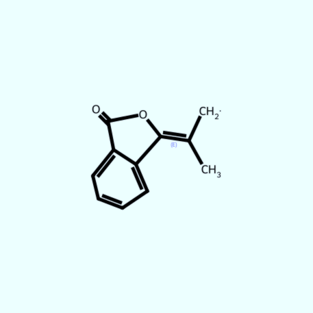 [CH2]/C(C)=C1\OC(=O)c2ccccc21